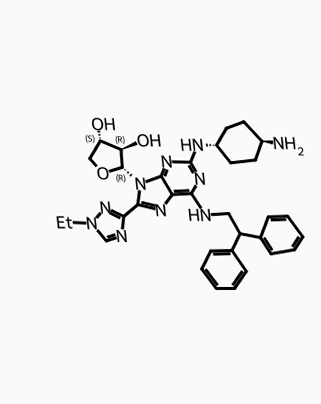 CCn1cnc(-c2nc3c(NCC(c4ccccc4)c4ccccc4)nc(N[C@H]4CC[C@H](N)CC4)nc3n2[C@@H]2OC[C@H](O)[C@H]2O)n1